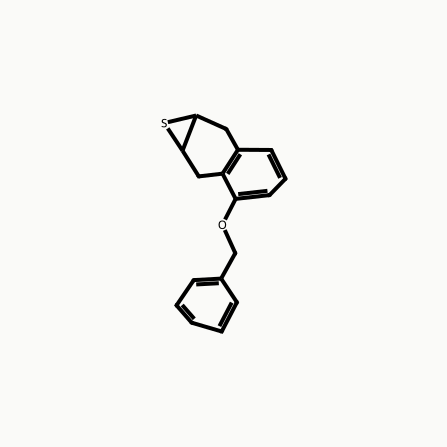 c1ccc(COc2cccc3c2CC2SC2C3)cc1